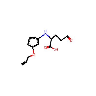 C=CCOc1cccc(NC(CCC=O)C(=O)O)c1